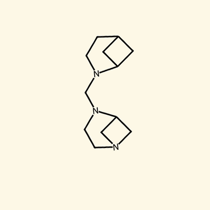 C1CN(CN2CCN3CC2C3)C2CC1C2